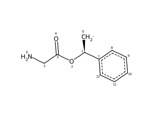 [CH2][C@H](OC(=O)CN)c1ccccc1